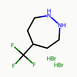 Br.Br.FC(F)(F)C1CCNNCC1